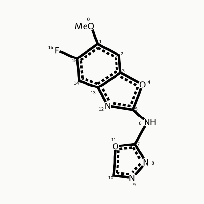 COc1cc2oc(Nc3nnco3)nc2cc1F